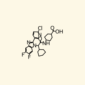 O=C(O)C1CCC(NC(=O)C(C2CCCCC2)n2c(-c3ccc(Cl)nc3)nc3cc(F)c(F)cc32)CC1